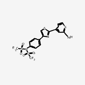 CCCc1cc(-c2nc(-c3ccc(N(S(=O)(=O)C(F)(F)F)S(=O)(=O)C(F)(F)F)cc3)cs2)ccn1